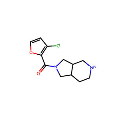 O=C(c1occc1Cl)N1CC2CCNCC2C1